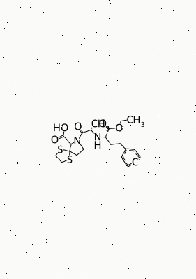 CCOC(=O)C(CCc1ccccc1)N[C@@H](C)C(=O)N1CCC2(SCCS2)C1C(=O)O